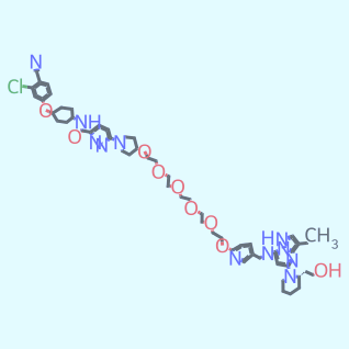 CCc1cnn2c(NCc3ccc(OCCOCCOCCOCCOCCOC4CCN(c5ccc(C(=O)NC6CCC(Oc7ccc(C#N)c(Cl)c7)CC6)nn5)CC4)nc3)cc(N3CCCC[C@H]3CCO)nc12